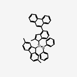 CC1=Cc2c(-c3cc4ccccc4c4ccccc34)cccc2[CH]1[Zr]([CH]1c2cc(C)ccc2-c2ccc(C)cc21)=[Si](c1ccccc1)c1ccccc1